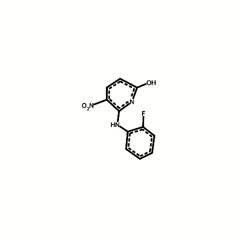 O=[N+]([O-])c1ccc(O)nc1Nc1ccccc1F